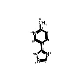 Cc1ccc(-c2ncns2)cn1